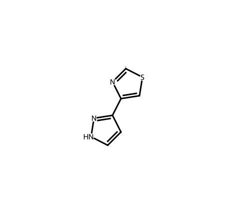 [c]1nc(-c2cc[nH]n2)cs1